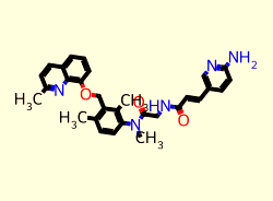 Cc1ccc2cccc(OCc3c(C)ccc(N(C)C(=O)CNC(=O)C=Cc4ccc(N)nc4)c3C)c2n1